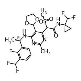 Cc1nc(N[C@H](C)c2cccc(C(F)F)c2F)c(C2OCCO2)c(C(C(=O)NC2(C(F)F)CC2)S(C)(=O)=O)n1